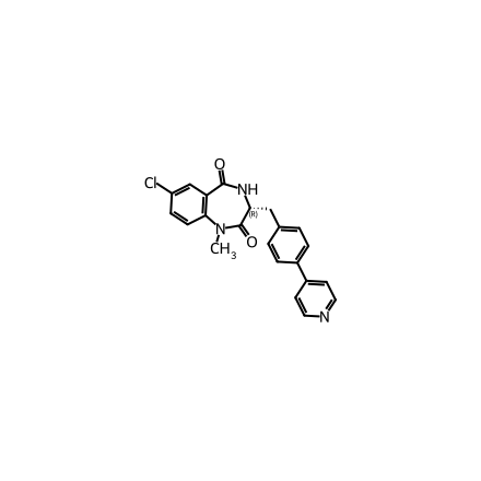 CN1C(=O)[C@@H](Cc2ccc(-c3ccncc3)cc2)NC(=O)c2cc(Cl)ccc21